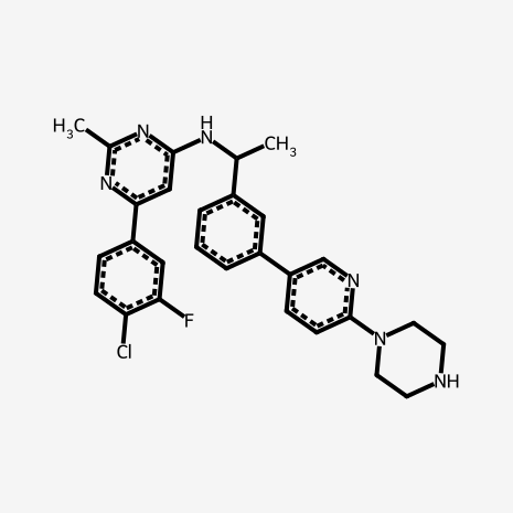 Cc1nc(NC(C)c2cccc(-c3ccc(N4CCNCC4)nc3)c2)cc(-c2ccc(Cl)c(F)c2)n1